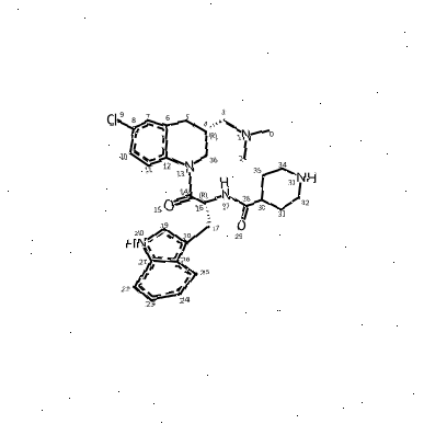 CN(C)C[C@H]1Cc2cc(Cl)ccc2N(C(=O)[C@@H](Cc2c[nH]c3ccccc23)NC(=O)C2CCNCC2)C1